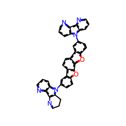 C1=Nc2c(n(-c3ccc4oc5c(ccc6c7cc(-n8c9cccnc9c9ncccc98)ccc7oc65)c4c3)c3cccnc23)CC1